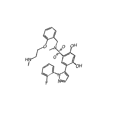 CNCCOc1ccccc1CN(C)S(=O)(=O)c1cc(-c2ccnn2-c2ccccc2F)c(O)cc1O